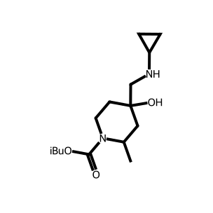 CC(C)COC(=O)N1CCC(O)(CNC2CC2)CC1C